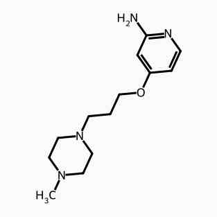 CN1CCN(CCCOc2ccnc(N)c2)CC1